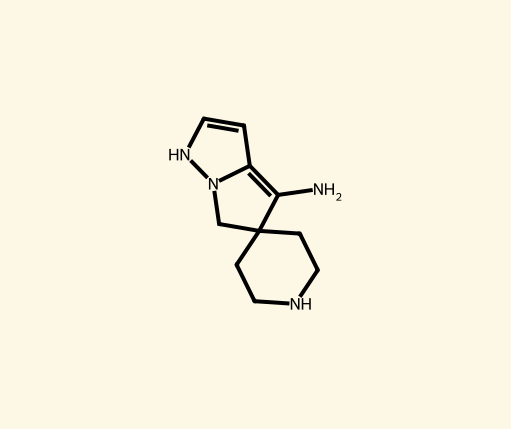 NC1=C2C=CNN2CC12CCNCC2